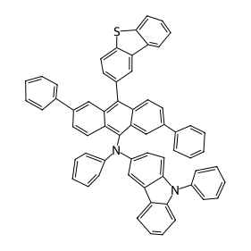 c1ccc(-c2ccc3c(N(c4ccccc4)c4ccc5c(c4)c4ccccc4n5-c4ccccc4)c4cc(-c5ccccc5)ccc4c(-c4ccc5sc6ccccc6c5c4)c3c2)cc1